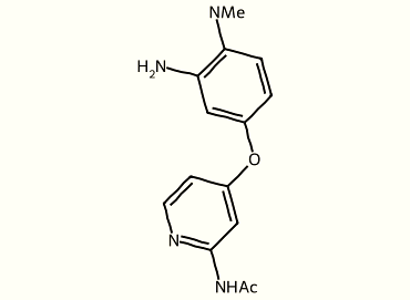 CNc1ccc(Oc2ccnc(NC(C)=O)c2)cc1N